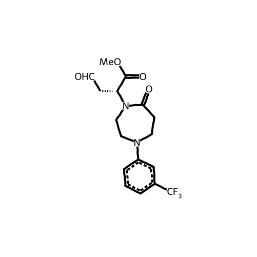 COC(=O)[C@@H](CC=O)N1CCN(c2cccc(C(F)(F)F)c2)CCC1=O